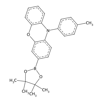 Cc1ccc(N2c3ccccc3Oc3cc(B4OC(C)(C)C(C)(C)O4)ccc32)cc1